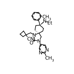 CCN(C)[C@]1(c2ccccc2)CC[C@]2(CC1)CN(c1cnc(C)nc1)C(=O)N2CC1(C#N)CCC1